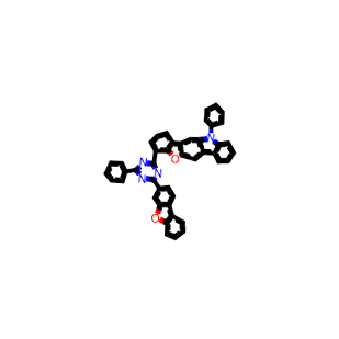 c1ccc(-c2nc(-c3ccc4c(c3)oc3ccccc34)nc(-c3cccc4c3oc3cc5c6ccccc6n(-c6ccccc6)c5cc34)n2)cc1